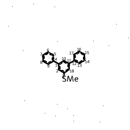 CSc1cc(-c2ccccc2)cc(-c2ccccc2)c1